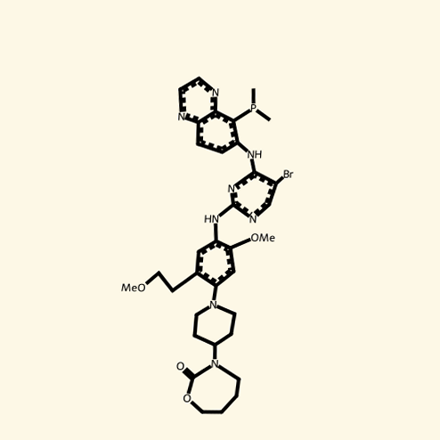 COCCc1cc(Nc2ncc(Br)c(Nc3ccc4nccnc4c3P(C)C)n2)c(OC)cc1N1CCC(N2CCCCOC2=O)CC1